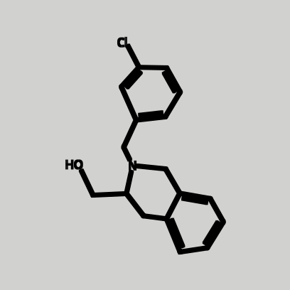 OCC1Cc2ccccc2CN1Cc1cccc(Cl)c1